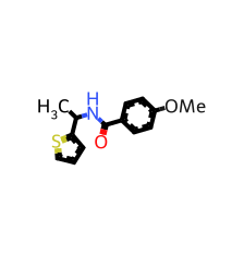 COc1ccc(C(=O)NC(C)c2cccs2)cc1